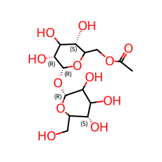 CC(=O)OCC1O[C@H](O[C@H]2OC(CO)[C@@H](O)C(O)C2O)[C@H](O)C(O)[C@@H]1O